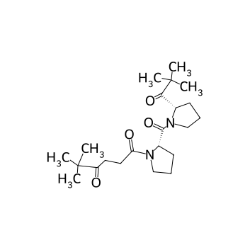 CC(C)(C)C(=O)CCC(=O)N1CCC[C@H]1C(=O)N1CCC[C@H]1C(=O)C(C)(C)C